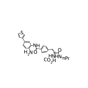 CCCNC(=O)[C@H](Cc1ccc(C(=O)Nc2cc(-c3ccsc3)ccc2N)cc1)NC(=O)O